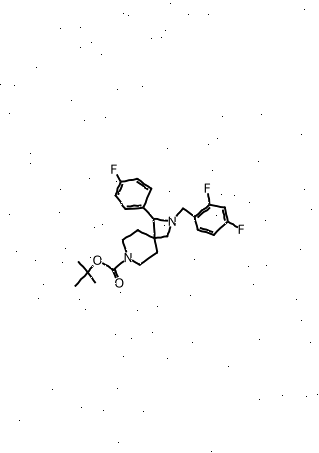 CC(C)(C)OC(=O)N1CCC2(CC1)CN(Cc1ccc(F)cc1F)C2c1ccc(F)cc1